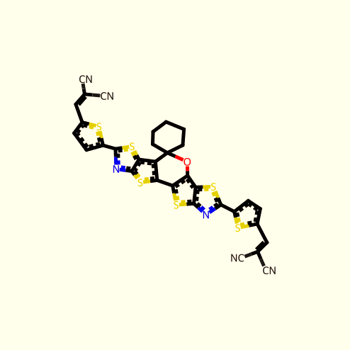 N#CC(C#N)=Cc1ccc(-c2nc3sc4c(c3s2)OC2(CCCCC2)c2c-4sc3nc(-c4ccc(C=C(C#N)C#N)s4)sc23)s1